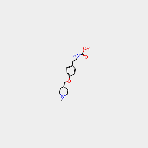 CN1CCC(COc2ccc(CCNC(=O)O)cc2)CC1